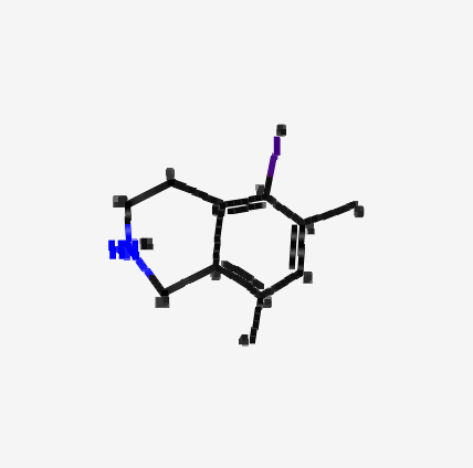 Cc1cc(C)c2c(c1I)CCNC2